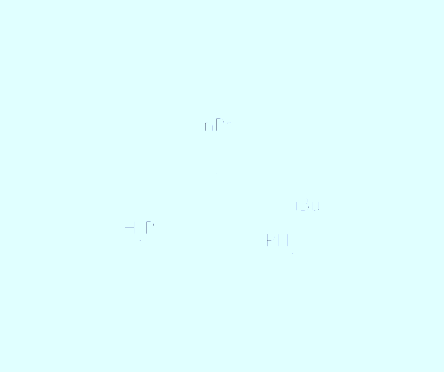 CCCC(CP)(CP)CC(C)CC